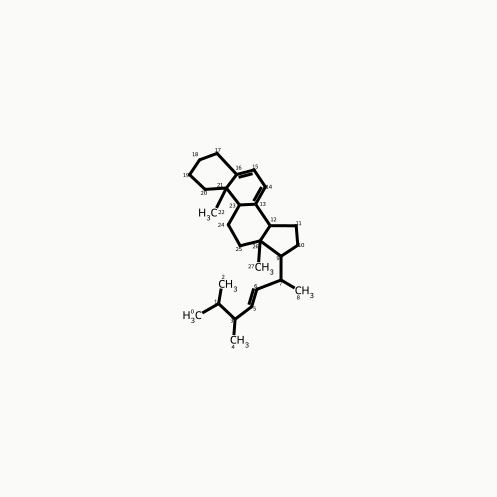 CC(C)C(C)/C=C/C(C)C1CCC2C3=CC=C4CCCCC4(C)C3CCC21C